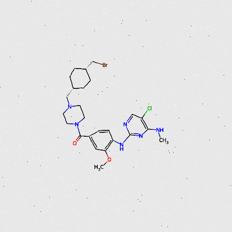 CNc1nc(Nc2ccc(C(=O)N3CCN(C[C@H]4CC[C@@H](CBr)CC4)CC3)cc2OC)ncc1Cl